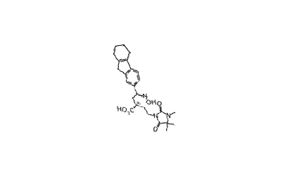 CN1C(=O)N(CC[C@H](CC(=NO)c2ccc3c(c2)CC2=C3CCCC2)C(=O)O)C(=O)C1(C)C